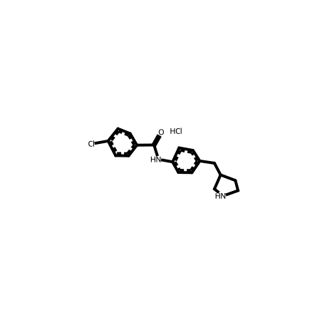 Cl.O=C(Nc1ccc(CC2CCNC2)cc1)c1ccc(Cl)cc1